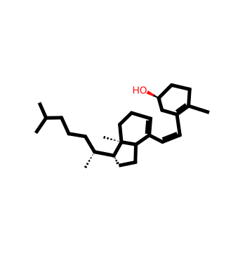 CC1=C(/C=C\C2=CCC[C@@]3(C)C2CC[C@@H]3[C@H](C)CCCC(C)C)C[C@@H](O)CC1